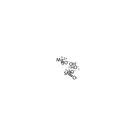 [Mg+2].[OH-].[OH-].[OH-].[OH-].[O]=[Sn+2]